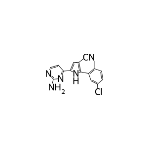 Cc1ccc(Cl)cc1-c1[nH]c(-c2ccnc(N)n2)cc1C#N